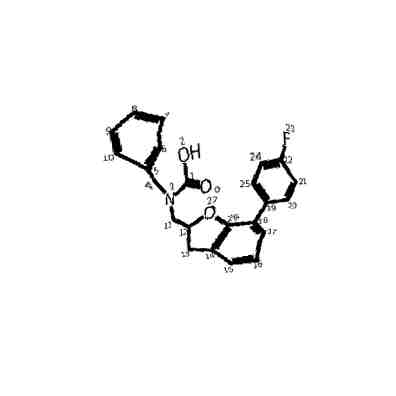 O=C(O)N(Cc1ccccc1)CC1Cc2cccc(-c3ccc(F)cc3)c2O1